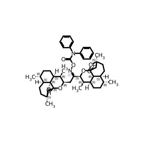 C[C@H]1[C@@H](/C(C[C@H]2O[C@@H]3C[C@]4(C)CC[C@H]5[C@H](C)CC[C@@H]([C@H]2C)[C@@]35OO4)=N\OC(=O)N(c2ccccc2)c2ccccc2)O[C@@H]2C[C@]3(C)CC[C@H]4[C@H](C)CC[C@@H]1[C@@]24OO3